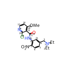 CCN(CC)Cc1ccc([N+](=O)[O-])c(NC(=O)c2c(OC)ccnc2Cl)c1